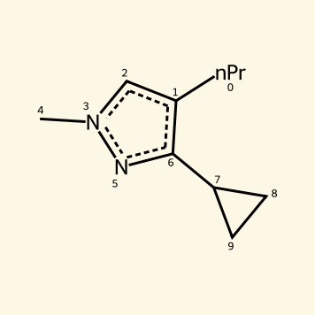 CCCc1cn(C)nc1C1CC1